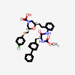 COC(=O)N[C@@H](Cc1ccc(-c2ccccc2)cc1)C(=O)Nc1ccccc1CC[C@@H]1CN(C(=O)O)C[C@@H](CSc2ccc(Cl)cc2)O1